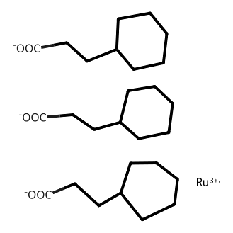 O=C([O-])CCC1CCCCC1.O=C([O-])CCC1CCCCC1.O=C([O-])CCC1CCCCC1.[Ru+3]